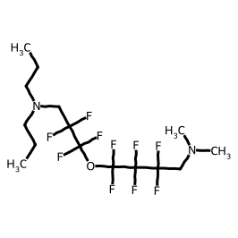 CCCN(CCC)CC(F)(F)C(F)(F)OC(F)(F)C(F)(F)C(F)(F)CN(C)C